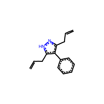 C=CCc1n[nH]c(CC=C)c1-c1ccccc1